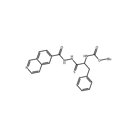 CC(C)(C)OC(=O)NC(Cc1ccccc1)C(=S)NNC(=O)c1ccc2cnccc2c1